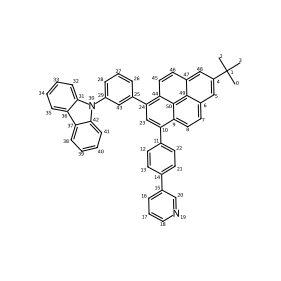 CC(C)(C)c1cc2ccc3c(-c4ccc(-c5cccnc5)cc4)cc(-c4cccc(-n5c6ccccc6c6ccccc65)c4)c4ccc(c1)c2c34